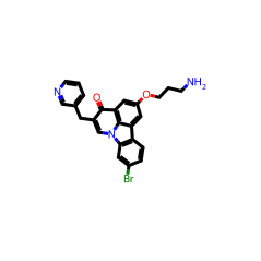 NCCCOc1cc2c(=O)c(Cc3cccnc3)cn3c4cc(Br)ccc4c(c1)c23